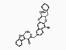 CCCCc1oc2ccccc2c1C(=O)NCc1ccc2c(Br)c(OC(Cc3ccccc3)C(=O)OC)ccc2c1